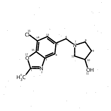 Cc1nc2cc(CN3CCC(O)C3)cc(Cl)c2o1